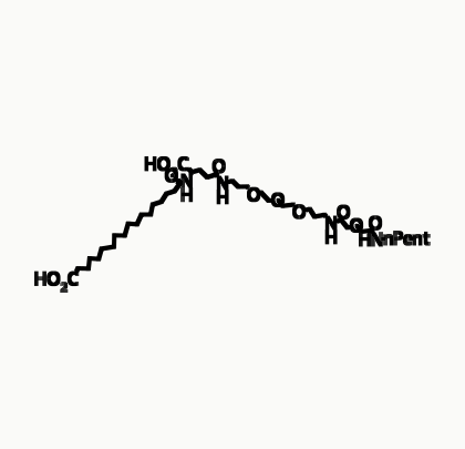 CCCCCNC(=O)COCC(=O)NCCCOCCOCCOCCCNC(=O)CCC(NC(=O)CCCCCCCCCCCCCCCCC(=O)O)C(=O)O